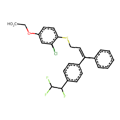 O=C(O)COc1ccc(SCC=C(c2ccccc2)c2ccc(C(F)C(F)F)cc2)c(Cl)c1